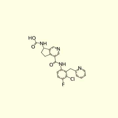 O=C(O)NC1CCc2c(C(=O)Nc3ccc(F)c(Cl)c3Cc3ccccn3)cncc21